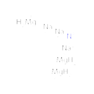 [MgH2].[MgH2].[MgH2].[N-3].[Na+].[Na+].[Na+]